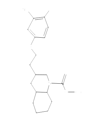 Cc1ccc(OCCC2CC3CCCCC3N(C(=O)OC(C)(C)C)C2)cc1C#N